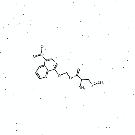 CSCC(N)C(=O)OCOc1ccc([N+](=O)[O-])c2cccnc12